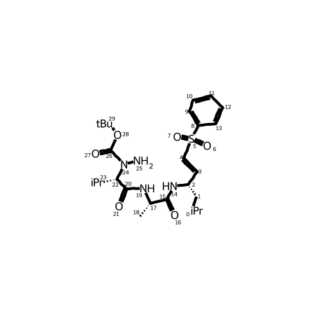 CC(C)C[C@@H](/C=C/S(=O)(=O)c1ccccc1)NC(=O)[C@H](C)NC(=O)[C@H](C(C)C)N(N)C(=O)OC(C)(C)C